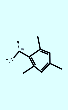 Cc1cc(C)c([C@@H](C)N)c(C)c1